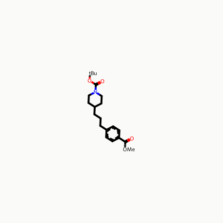 COC(=O)c1ccc(CCCC2CCN(C(=O)OC(C)(C)C)CC2)cc1